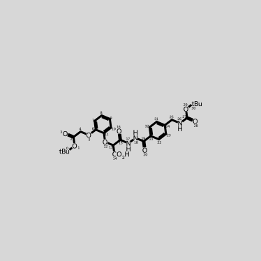 CC(C)(C)OC(=O)COc1ccccc1OC(C(=O)O)C(=O)NNC(=O)c1ccc(CNC(=O)OC(C)(C)C)cc1